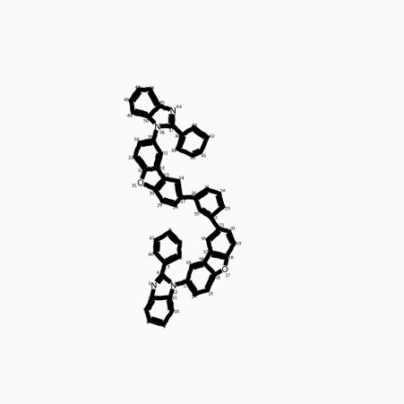 c1ccc(-c2nc3ccccc3n2-c2ccc3oc4ccc(-c5cccc(-c6ccc7oc8ccc(-n9c(-c%10ccccc%10)nc%10ccccc%109)cc8c7c6)c5)cc4c3c2)cc1